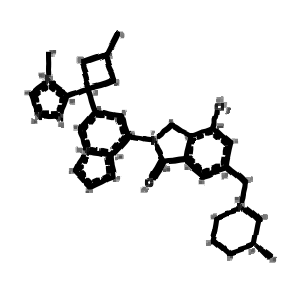 CC1CC(c2cc(N3Cc4c(cc(CN5CCC[C@H](C)C5)cc4C(F)(F)F)C3=O)c3cccn3c2)(c2nncn2C)C1